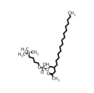 CCCCCCCCCCCCCCCCC(COP(=O)(O)OCCCC[N+](C)(C)C)CC(C)=O